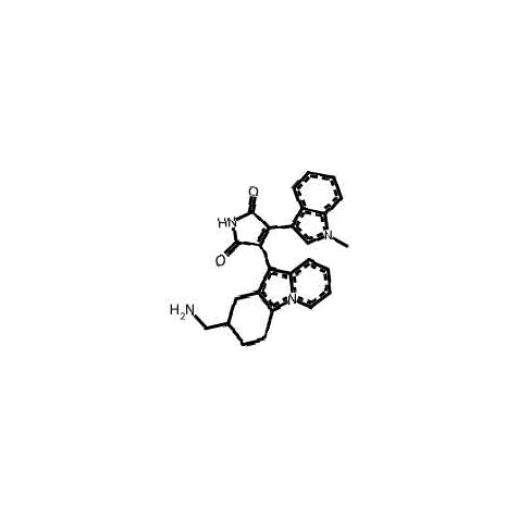 Cn1cc(C2=C(c3c4c(n5ccccc35)CCC(CN)C4)C(=O)NC2=O)c2ccccc21